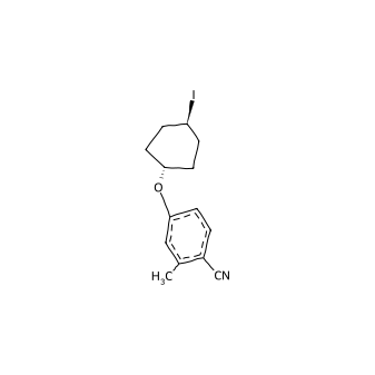 Cc1cc(O[C@H]2CC[C@H](I)CC2)ccc1C#N